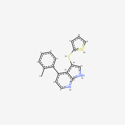 Cc1ccccc1-c1ccnc2[nH]cc(Sc3cccs3)c12